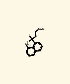 CNCCC(C)(I)c1cccc2cccc(I)c12